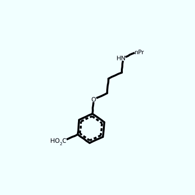 CCCNCCCOc1cccc(C(=O)O)c1